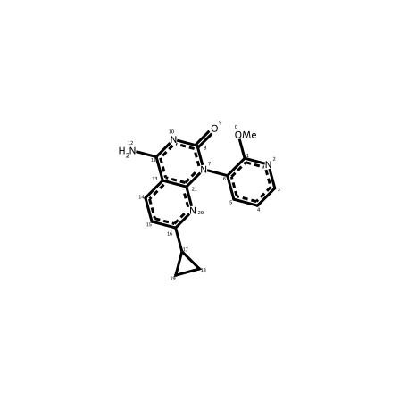 COc1ncccc1-n1c(=O)nc(N)c2ccc(C3CC3)nc21